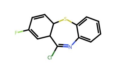 FC1=CC2C(Cl)=Nc3ccccc3SC2C=C1